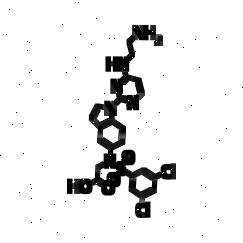 NCCNc1ccnc(-n2ccc3cc(N(CC(=O)O)S(=O)(=O)c4cc(Cl)cc(Cl)c4)ccc32)n1